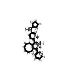 B(c1ccc(C2=C3CCCCCCC3C(c3ccccn3)=NN2)nc1)C1CCCC1